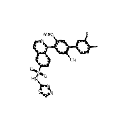 COc1cc(-c2ccc(C)c(F)c2)c(C#N)cc1-c1nccc2cc(S(=O)(=O)Nc3nncs3)ccc12